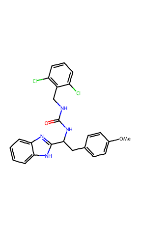 COc1ccc(CC(NC(=O)NCc2c(Cl)cccc2Cl)c2nc3ccccc3[nH]2)cc1